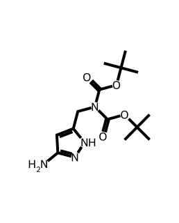 CC(C)(C)OC(=O)N(Cc1cc(N)n[nH]1)C(=O)OC(C)(C)C